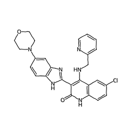 O=c1[nH]c2ccc(Cl)cc2c(NCc2ccccn2)c1-c1nc2cc(N3CCOCC3)ccc2[nH]1